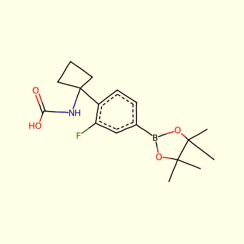 CC1(C)OB(c2ccc(C3(NC(=O)O)CCC3)c(F)c2)OC1(C)C